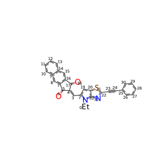 CCn1c(C=C2C(=O)c3cc4ccccc4cc3C2=O)cc2sc(C#Cc3ccccc3)nc21